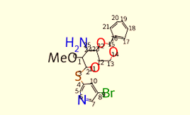 COC1C(Sc2cncc(Br)c2)OC2COC(c3ccccc3)OC2C1N